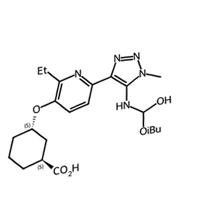 CCc1nc(-c2nnn(C)c2NC(O)OCC(C)C)ccc1O[C@H]1CCC[C@H](C(=O)O)C1